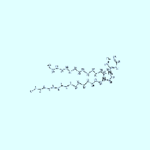 CCCCCCCCCCCCCCCCCN1C=CN(c2ccccc2)C1CCCCCCCCCCCCC